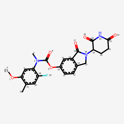 CCOc1cc(N(C)C(=O)Oc2ccc3c(c2)C(=O)N(C2CCC(=O)NC2=O)C3)c(F)cc1C